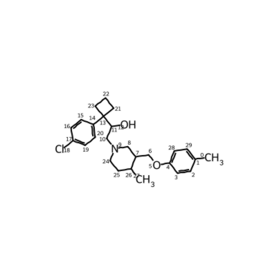 Cc1ccc(OCC2CN(CC(O)C3(c4ccc(Cl)cc4)CCC3)CCC2C)cc1